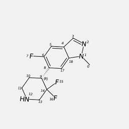 Cn1ncc2cc(F)c([C@H]3CCNCC3(F)F)cc21